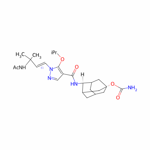 CC(=O)NC(C)(C)/C=C/n1ncc(C(=O)N[C@H]2C3CC4CC2C[C@](OC(N)=O)(C4)C3)c1OC(C)C